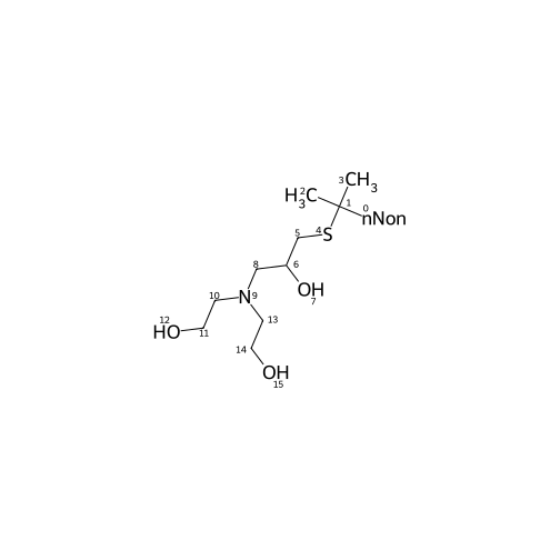 CCCCCCCCCC(C)(C)SCC(O)CN(CCO)CCO